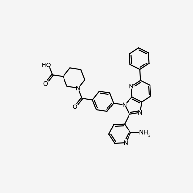 Nc1ncccc1-c1nc2ccc(-c3ccccc3)nc2n1-c1ccc(C(=O)N2CCCC(C(=O)O)C2)cc1